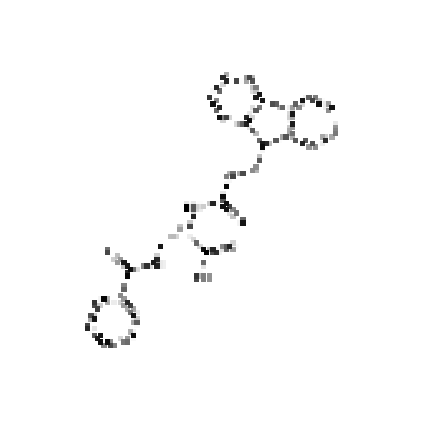 O=C(N[C@@H](CNC(=O)c1ccccc1)C(=O)O)OCC1c2ccccc2-c2ccccc21